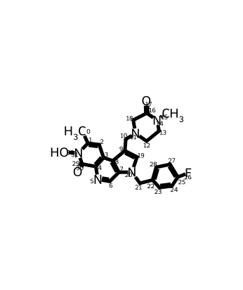 Cc1cc2c(ncc3c2c(CN2CCN(C)C(=O)C2)cn3Cc2ccc(F)cc2)c(=O)n1O